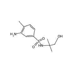 Cc1ccc(S(=O)(=O)NC(C)(C)CO)cc1N